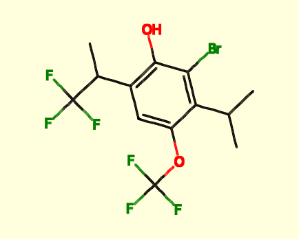 CC(C)c1c(OC(F)(F)F)cc(C(C)C(F)(F)F)c(O)c1Br